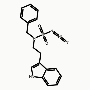 [N-]=[N+]=NS(=O)(=O)N(CCc1c[nH]c2ccccc12)Cc1ccccc1